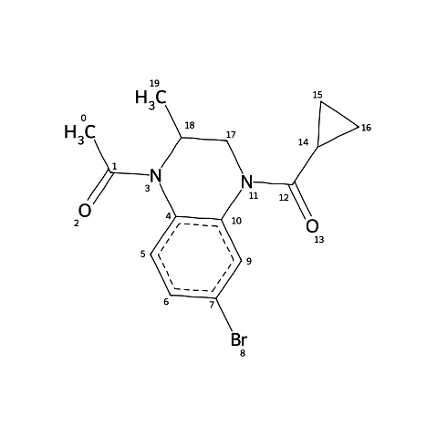 CC(=O)N1c2ccc(Br)cc2N(C(=O)C2CC2)CC1C